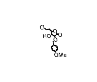 COc1ccc(COC2=C(O)/C(=C\CCl)OC2=O)cc1